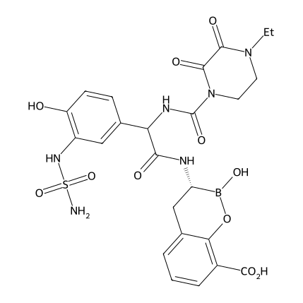 CCN1CCN(C(=O)NC(C(=O)N[C@H]2Cc3cccc(C(=O)O)c3OB2O)c2ccc(O)c(NS(N)(=O)=O)c2)C(=O)C1=O